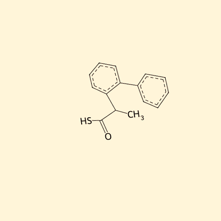 CC(C(=O)S)c1ccccc1-c1ccccc1